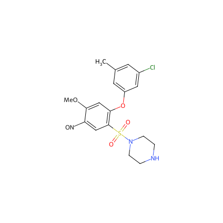 COc1cc(Oc2cc(C)cc(Cl)c2)c(S(=O)(=O)N2CCNCC2)cc1N=O